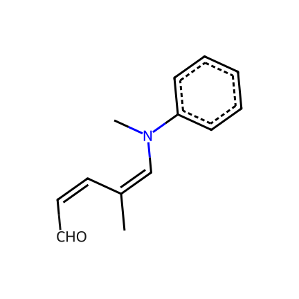 CC(/C=C\C=O)=C/N(C)c1ccccc1